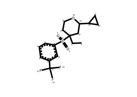 CCC1(S(=O)(=O)c2cccc(C(F)(F)F)c2)CCOC(C2CC2)C1